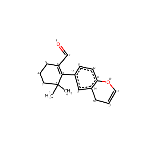 CC1(C)CCCC(C=O)=C1c1ccc2c(c1)CC=CO2